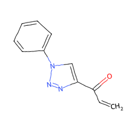 C=CC(=O)c1cn(-c2ccccc2)nn1